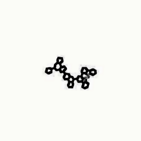 C1=C(c2ccccc2)Cc2cc(-c3ccc4c(c3)CC(c3cc(-c5cccc6c5sc5ccccc56)c5sc6ccccc6c5c3)c3ccccc3-4)ccc2-c2ccccc21